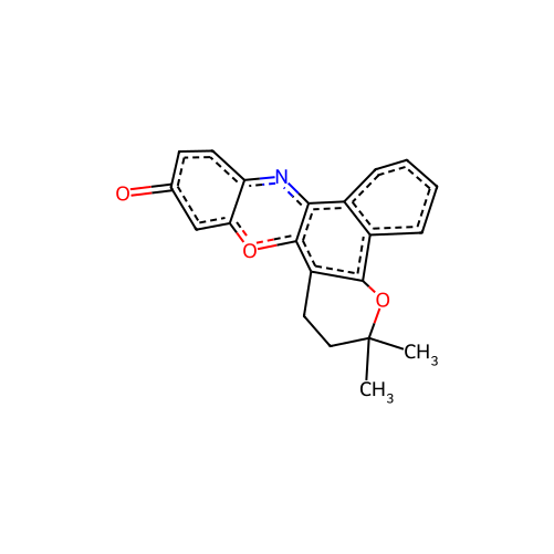 CC1(C)CCc2c(c3ccccc3c3nc4ccc(=O)cc-4oc23)O1